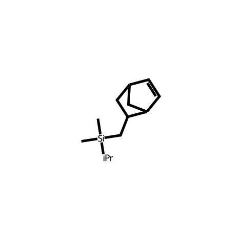 CC(C)[Si](C)(C)CC1CC2C=CC1C2